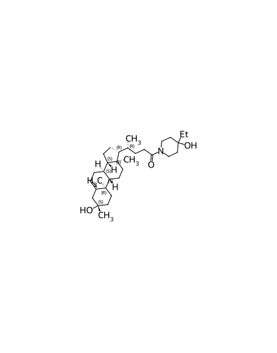 CCC1(O)CCN(C(=O)CC[C@@H](C)[C@H]2CC[C@H]3[C@@H]4CC=C5C[C@@](C)(O)CC[C@]5(C)[C@H]4CC[C@]23C)CC1